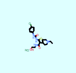 CCN1CCc2c(sc(NC(=O)Nc3ccc(Cl)cc3)c2C(=O)NCCO)C1.Cl